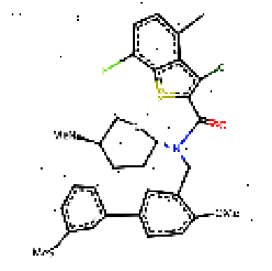 CN[C@H]1CC[C@H](N(Cc2cc(-c3cccc(SC)c3)ccc2OC)C(=O)c2sc3c(F)ccc(C)c3c2Cl)CC1